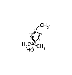 [CH2]Cc1ccc(C(C)(C)O)nc1